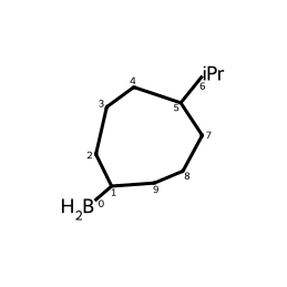 BC1CCCC(C(C)C)CCC1